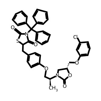 C[C@@H](COc1ccc(CC2SC(=O)N(C(c3ccccc3)(c3ccccc3)c3ccccc3)C2=O)cc1)N1C[C@H](COc2cccc(Cl)c2)OC1=O